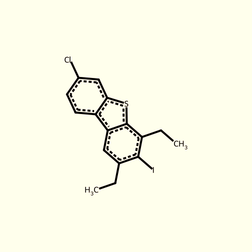 CCc1cc2c(sc3cc(Cl)ccc32)c(CC)c1I